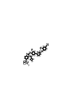 COC(=O)c1ccc2nc(Cc3ccc(-c4cccc(OCc5ccc(C#N)cc5F)n4)cc3F)n(CC3CCC3)c2c1